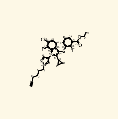 C#CCCCCn1cc(-n2c(C3CC3)c(Sc3cccc(C(=O)OCC)c3F)c3ccc(Cl)c(F)c32)cn1